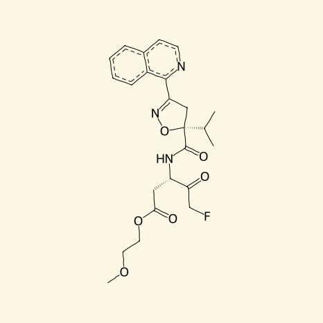 COCCOC(=O)C[C@H](NC(=O)[C@]1(C(C)C)CC(c2nccc3ccccc23)=NO1)C(=O)CF